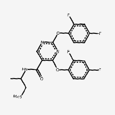 CSCC(C)NC(=O)c1cnc(Oc2ccc(F)cc2F)nc1Oc1ccc(F)cc1F